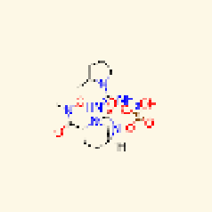 CN(OCC1CCCN1C(=N)N)C(=O)[C@@H]1CC[C@H]2CN1C(=O)N2OS(=O)(=O)O